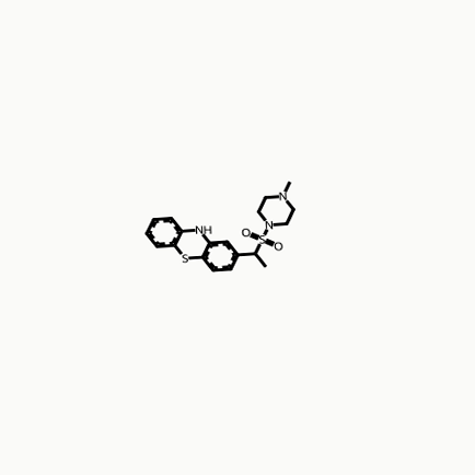 CC(c1ccc2c(c1)Nc1ccccc1S2)S(=O)(=O)N1CCN(C)CC1